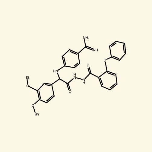 CCOc1cc(C(Nc2ccc(C(=N)N)cc2)C(=O)NNC(=O)c2ccccc2Oc2ccccc2)ccc1OC(C)C